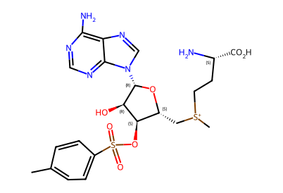 Cc1ccc(S(=O)(=O)O[C@H]2[C@@H](O)[C@H](n3cnc4c(N)ncnc43)O[C@@H]2C[S+](C)CC[C@H](N)C(=O)O)cc1